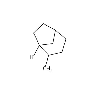 [Li][C]12CCC(CCC1C)C2